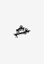 C=C(C)C(=O)OCC1CO1.C=CC(=O)OCCCCCCCC(C)C